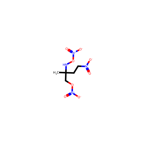 CC(CC[N+](=O)[O-])(CO[N+](=O)[O-])NO[N+](=O)[O-]